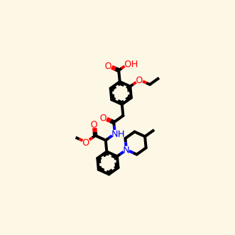 CCOc1cc(CC(=O)NC(C(=O)OC)c2ccccc2N2CCC(C)CC2)ccc1C(=O)O